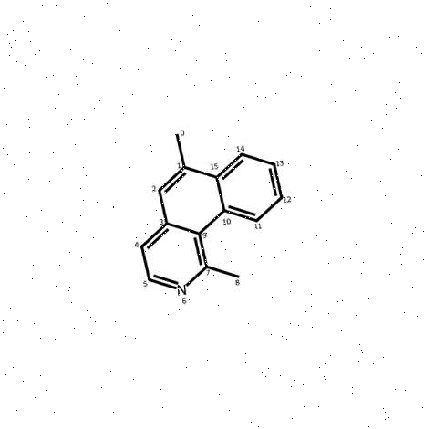 Cc1cc2ccnc(C)c2c2ccccc12